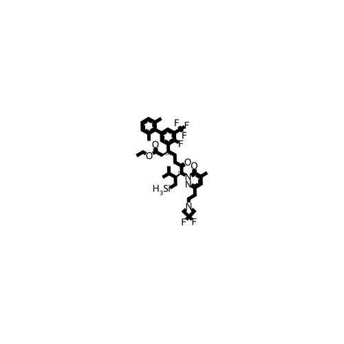 CCOC(=O)C[C@H](CCC(=O)[C@H](C(C[SiH3])C(C)C)n1nc(CCN2CC(F)(F)C2)cc(C)c1=O)c1cc(-c2c(C)cccc2C)cc(C(F)(F)F)c1F